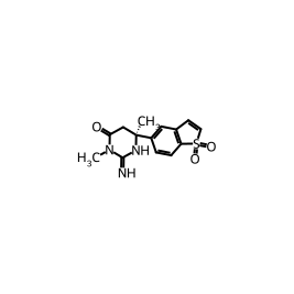 CN1C(=N)N[C@](C)(c2ccc3c(c2)C=CS3(=O)=O)CC1=O